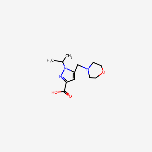 CC(C)n1nc(C(=O)O)cc1CN1CCOCC1